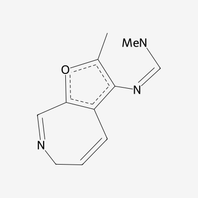 CN/C=N\c1c(C)oc2c1C=CCN=C2